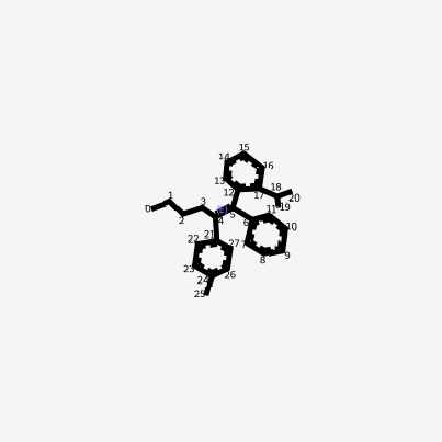 CCCC/C(=C(/c1ccccc1)c1ccccc1C(C)C)c1ccc(C)cc1